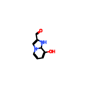 O=CC1=CN2C=CC=C(O)C2N1